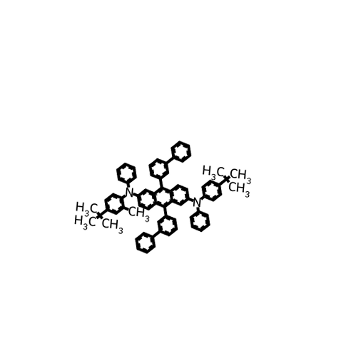 Cc1cc(C(C)(C)C)ccc1N(c1ccccc1)c1ccc2c(-c3cccc(-c4ccccc4)c3)c3cc(N(c4ccccc4)c4ccc(C(C)(C)C)cc4)ccc3c(-c3cccc(-c4ccccc4)c3)c2c1